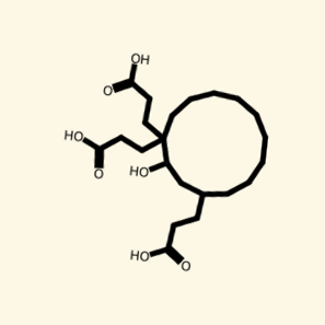 O=C(O)CCC1CCCCCCCCCC(CCC(=O)O)(CCC(=O)O)C(O)C1